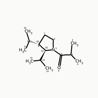 CC(C)C(=O)N1CC[C@@H](C(C)C)[C@@H]1C(C)C